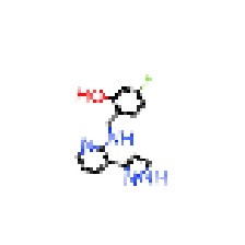 Oc1cc(F)ccc1CNc1ncccc1-c1cc[nH]n1